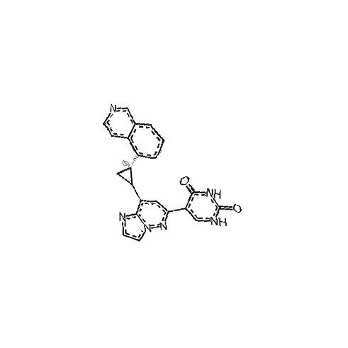 O=c1[nH]cc(-c2cc(C3C[C@@H]3c3cccc4cnccc34)c3nccn3n2)c(=O)[nH]1